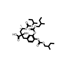 CCC(C)COC(=O)Oc1ccc(CC(N)(C[C@H](C)OC(=O)OC(C)CC)C(=O)O)cc1OC(=O)OCC(C)CC